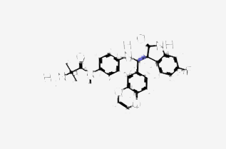 CN(C(=O)C(C)(C)N)c1ccc(N/C(=C2\C(=O)Nc3cc(F)ccc32)c2ccc3c(c2)OC=CO3)cc1